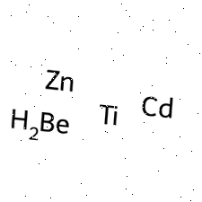 [BeH2].[Cd].[Ti].[Zn]